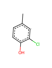 Cc1[c]c(Cl)c(O)cc1